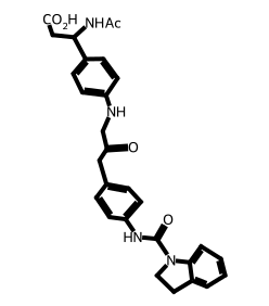 CC(=O)NC(CC(=O)O)c1ccc(NCC(=O)Cc2ccc(NC(=O)N3CCc4ccccc43)cc2)cc1